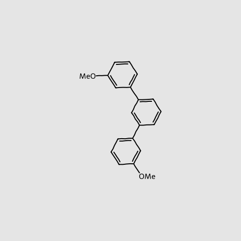 COc1cccc(-c2cccc(-c3cccc(OC)c3)c2)c1